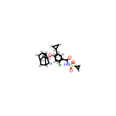 O=C(NS(=O)(=O)C1CC1)c1cc(C2CC2)c(OC23CC4CC(CC(C4)C2)C3)cc1F